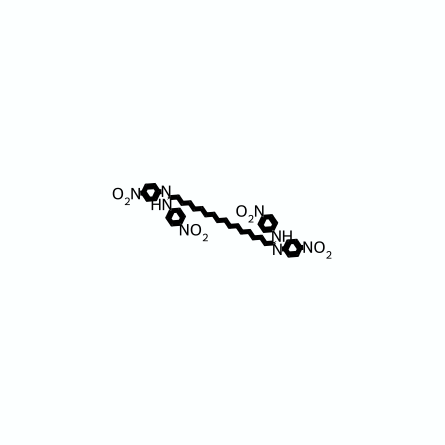 O=[N+]([O-])c1ccc(/N=C(/CCCCCCCCCCCCCCCC/C(=N/c2ccc([N+](=O)[O-])cc2)Nc2ccc([N+](=O)[O-])cc2)Nc2ccc([N+](=O)[O-])cc2)cc1